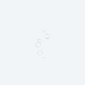 CCCS(=O)(=O)Nc1ccc(F)c(C(=O)c2c[nH]c3ncc(-c4ccc(OC)cc4C)cc23)c1F